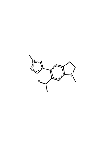 CC(F)c1cc2c(cc1-c1cnn(C)c1)CCN2C